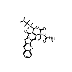 CCC1(OC(=O)NC)C(=O)OC([Si](C)(C)C(C)(C)C(C)C)c2c1cc1n(c2=O)Cc2cc3ccccc3nc2-1